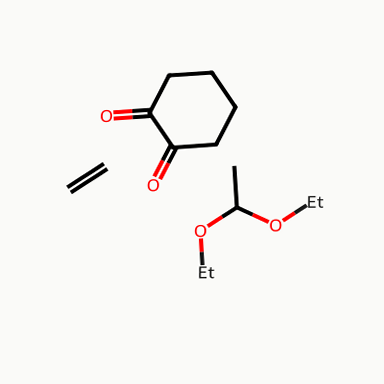 C=C.CCOC(C)OCC.O=C1CCCCC1=O